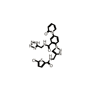 O=C(NCc1cn(-c2ccc(-n3ccccc3=O)cc2C(=O)NCc2nnn[nH]2)nn1)c1ccc(Cl)s1